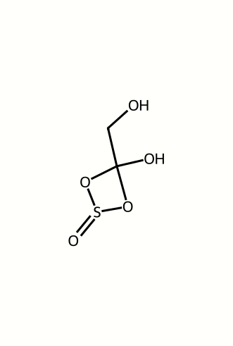 O=S1OC(O)(CO)O1